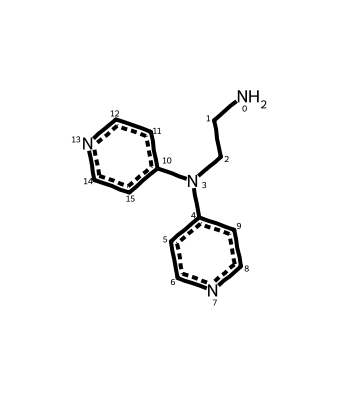 NCCN(c1ccncc1)c1ccncc1